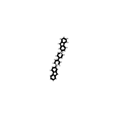 c1ccc2c(c1)Cc1cc(-[n+]3ccc(-c4cc[n+](-c5ccc6c(c5)Cc5ccccc5-6)cc4)cc3)ccc1-2